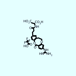 N=C(N)Nc1ccc2c(c1)OCCc1cc(CCC(=O)N[C@@H](CC(=O)O)C(=O)O)ccc1OC2=O.O=C(O)C(F)(F)F